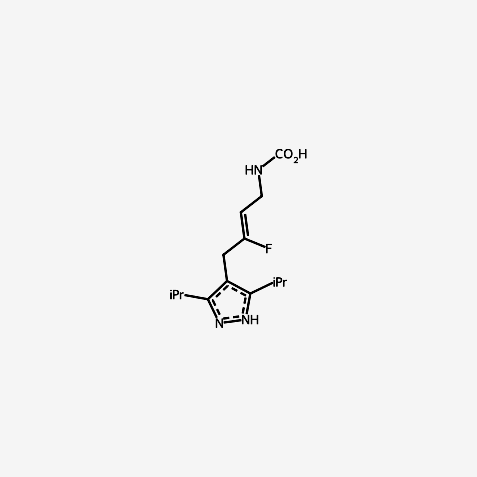 CC(C)c1n[nH]c(C(C)C)c1CC(F)=CCNC(=O)O